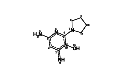 N=c1cc(N)nc(N2CCCC2)n1O